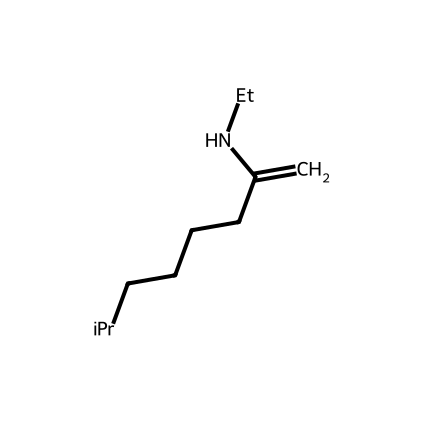 C=C(CCCCC(C)C)NCC